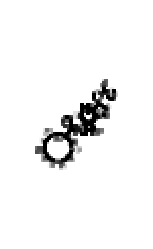 CC(=O)OC1CCc2c1ncc(NC(=O)C1CCCCCCCCCC1)c2C